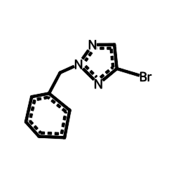 Brc1cnn(Cc2ccccc2)n1